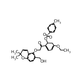 CCOC1=CC=C(C(=O)COc2c(CO)ccc3c2C=CC(C)(C)O3)C(OS(=O)(=O)c2ccc(C)cc2)C1